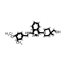 COc1ccc(CNc2nnc(N3CCC(F)(CO)CC3)c3ccccc23)cc1C